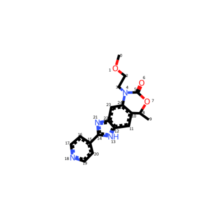 COCCN1C(=O)OC(C)c2cc3[nH]c(-c4ccncc4)nc3cc21